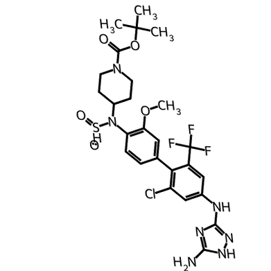 COc1cc(-c2c(Cl)cc(Nc3n[nH]c(N)n3)cc2C(F)(F)F)ccc1N(C1CCN(C(=O)OC(C)(C)C)CC1)[SH](=O)=O